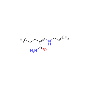 C=CCNC=C(CCC)C(N)=O